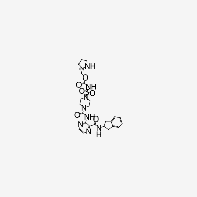 O=C(NS(=O)(=O)N1CCN(C(=O)Nc2nccnc2C(=O)NC2Cc3ccccc3C2)CC1)OC[C@H]1CCCN1